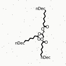 CCCCCCCCCCCCCCCCC(=O)OC[C@@H](COC(=O)CCCCCCCCCCCCCCC)OC(=O)CCCCCCCCCCCCCCC